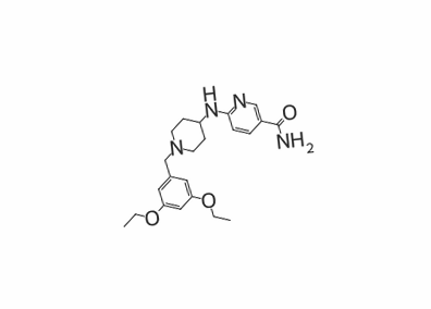 CCOc1cc(CN2CCC(Nc3ccc(C(N)=O)cn3)CC2)cc(OCC)c1